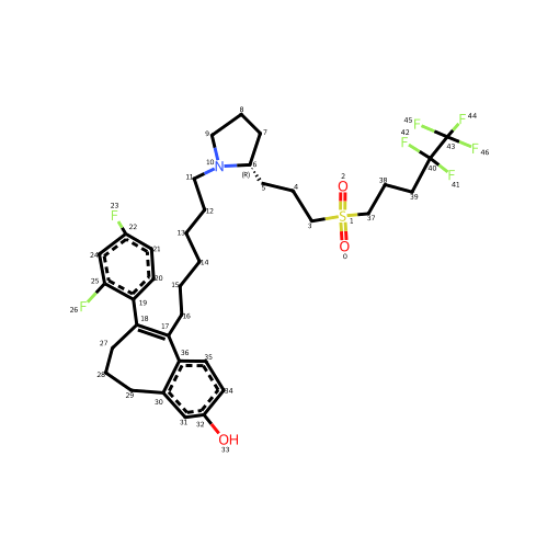 O=S(=O)(CCC[C@H]1CCCN1CCCCCCC1=C(c2ccc(F)cc2F)CCCc2cc(O)ccc21)CCCC(F)(F)C(F)(F)F